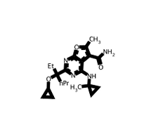 CCCC(CC)(OC1CC1)c1nc(NC2(C)CC2)c2c(C(N)=O)c(C)oc2n1